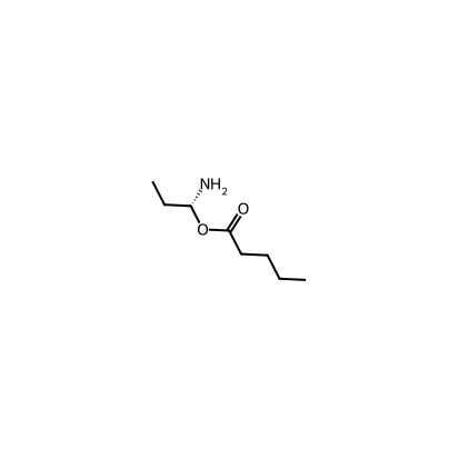 CCCCC(=O)O[C@@H](N)CC